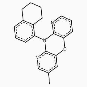 Cc1cnc2c(c1)Oc1cccnc1N2c1cccc2c1CCCC2